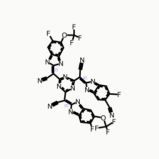 N#C/C(=C1\N=c2cc(F)c(OC(F)(F)F)cc2=N1)c1nc(/C(C#N)=C2/N=c3cc(F)c(OC(F)(F)F)cc3=N2)nc(/C(C#N)=C2/N=c3cc(F)c(C#N)cc3=N2)n1